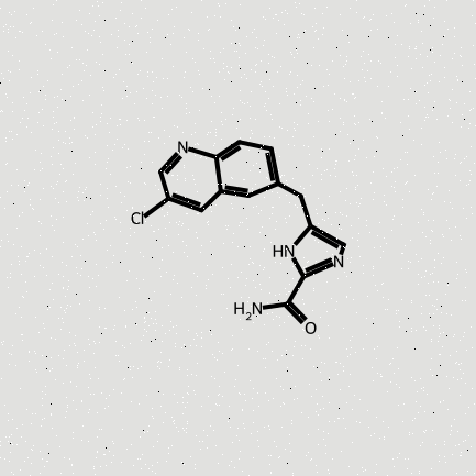 NC(=O)c1ncc(Cc2ccc3ncc(Cl)cc3c2)[nH]1